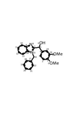 COc1ccc(C(O)c2nc3ccccc3n2Cc2ccccc2)cc1OC